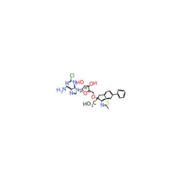 Cc1nc([C@@](Cc2ccc(-c3ccccc3)cc2)(OC[C@H]2O[C@@H](n3cnc4c(N)nc(Cl)nc43)[C@H](O)[C@@H]2O)C(=O)O)cs1